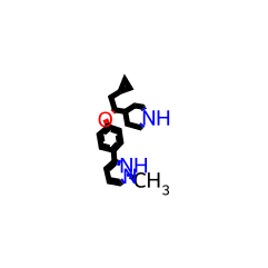 CN1C=CC=C(c2ccc(OC(CC3CC3)C3CCNCC3)cc2)N1